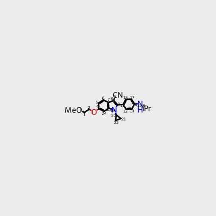 COCCOc1ccc2c(C#N)c(-c3ccc(NC(C)C)cc3)n(C3CC3)c2c1